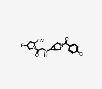 N#C[C@@H]1CC(F)CN1C(=O)CNC1C2CN(C(=O)c3ccc(Cl)cc3)CC21